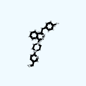 O=Cc1ccc(N2CCN(c3nnc(Cc4ccc(F)cc4)c4ccccc34)CC2)nc1